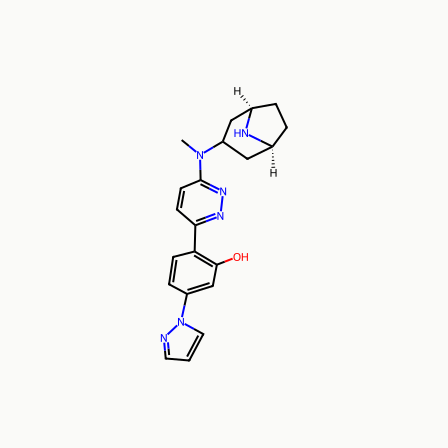 CN(c1ccc(-c2ccc(-n3cccn3)cc2O)nn1)C1C[C@H]2CC[C@@H](C1)N2